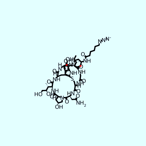 CC[C@H](C)[C@@H]1NC(=O)CNC(=O)[C@H]2Cc3c([nH]c4c(N5CCC(NC(=O)CCCCCN=[N+]=[N-])CC5)c(O)ccc34)SC[C@H](NC(=O)CNC1=O)C(=O)N[C@@H](CC(N)=O)C(=O)N1C[C@H](O)C[C@H]1C(=O)N[C@@H]([C@@H](C)[C@@H](O)CO)C(=O)N2